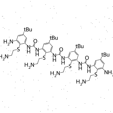 CC(C)(C)c1cc(N)c(SCCN)c(NC(=O)Nc2cc(C(C)(C)C)cc(NC(=O)Nc3cc(C(C)(C)C)cc(NC(=O)Nc4cc(C(C)(C)C)cc(N)c4SCCN)c3SCCN)c2SCCN)c1